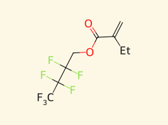 C=C(CC)C(=O)OCC(F)(F)C(F)(F)C(F)(F)F